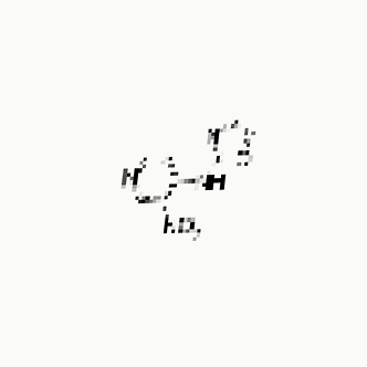 O=[N+]([O-])c1cnccc1Nc1ncco1